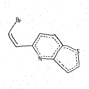 Br/C=C\c1ccc2sccc2n1